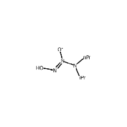 CCCN(C(C)C)/[N+]([O-])=N/O